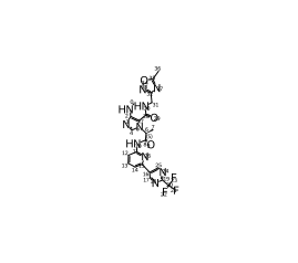 CNc1ncn([C@@H](C)C(=O)Nc2cccc(-c3cnc(C(F)(F)F)nc3)n2)c1C(=O)NCc1noc(C)n1